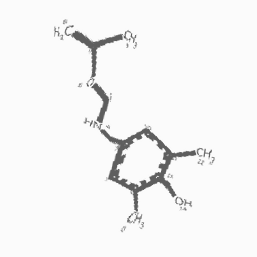 Cc1cc(NCOC(C)C)cc(C)c1O